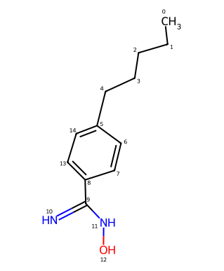 CCCCCc1ccc(C(=N)NO)cc1